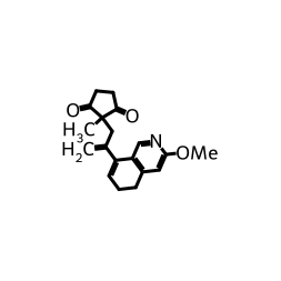 C=C(CC1(C)C(=O)CCC1=O)C1=CCCc2cc(OC)ncc21